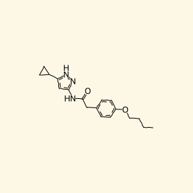 CCCCOc1ccc(CC(=O)Nc2cc(C3CC3)[nH]n2)cc1